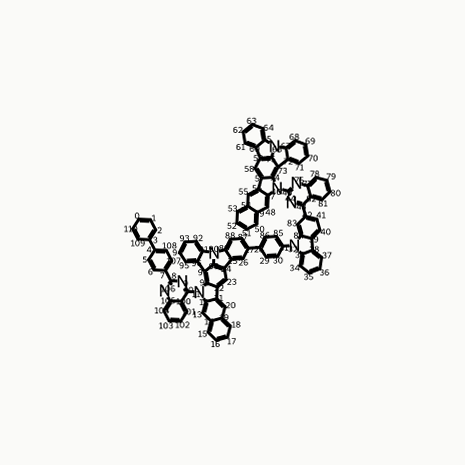 c1ccc(-c2ccc(-c3nc(-n4c5cc6ccccc6cc5c5cc6c7cc(-c8ccc(-n9c%10ccccc%10c%10ccc(-c%11nc(-n%12c%13cc%14ccccc%14cc%13c%13cc%14c%15ccccc%15n%15c%16ccccc%16c(c%13%12)c%14%15)nc%12ccccc%11%12)cc%109)cc8)ccc7n7c8ccccc8c(c54)c67)c4ccccc4n3)cc2)cc1